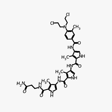 Cc1cc(C(=O)Nc2c[nH]c(C(=O)Nc3c[nH]c(C(=O)Nc4c[nH]c(C(=O)NCCC(N)=O)c4C)c3C)c2C)ccc1N(CCCl)CCCl